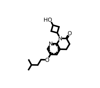 CC(C)CCOc1cnc2c(c1)CCC(=O)N2C1CC(O)C1